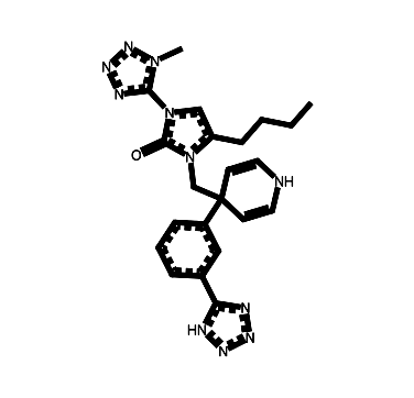 CCCCc1cn(-c2nnnn2C)c(=O)n1CC1(c2cccc(-c3nnn[nH]3)c2)C=CNC=C1